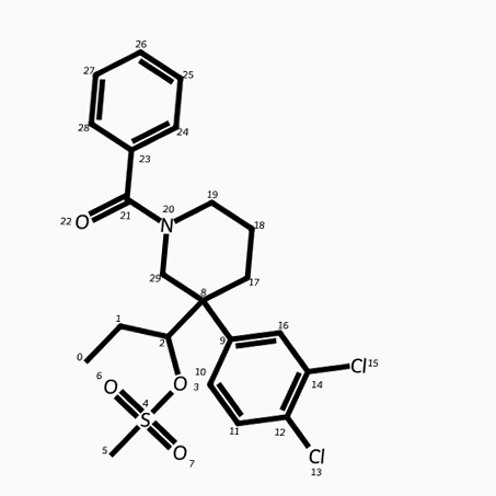 CCC(OS(C)(=O)=O)C1(c2ccc(Cl)c(Cl)c2)CCCN(C(=O)c2ccccc2)C1